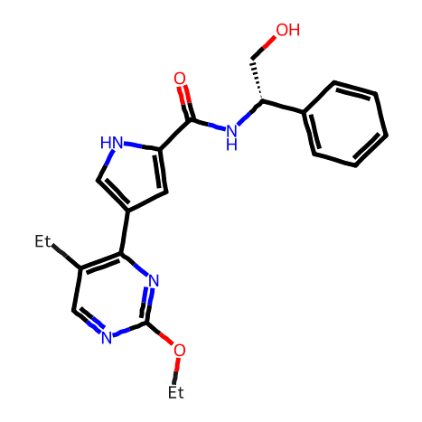 CCOc1ncc(CC)c(-c2c[nH]c(C(=O)N[C@H](CO)c3ccccc3)c2)n1